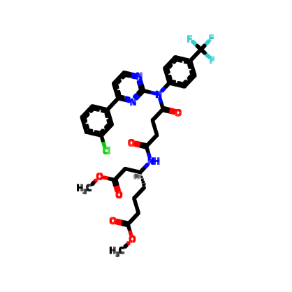 COC(=O)CCC[C@H](CC(=O)OC)NC(=O)CCC(=O)N(c1ccc(C(F)(F)F)cc1)c1nccc(-c2cccc(Cl)c2)n1